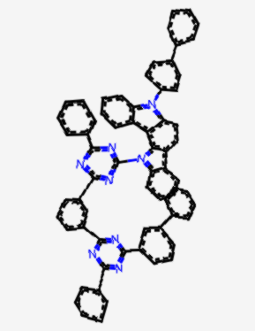 c1ccc(-c2ccc(-n3c4ccccc4c4c3ccc3c5ccccc5n(-c5nc(-c6ccccc6)nc(-c6cccc(-c7nc(-c8ccccc8)nc(-c8cccc(-c9ccccc9)c8)n7)c6)n5)c34)cc2)cc1